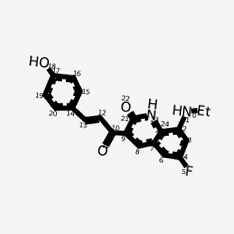 CCNc1cc(F)cc2cc(C(=O)C=Cc3ccc(O)cc3)c(=O)[nH]c12